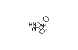 O=C1NCCc2c1c1cccc3c1n2C(c1ccccc1)CC3